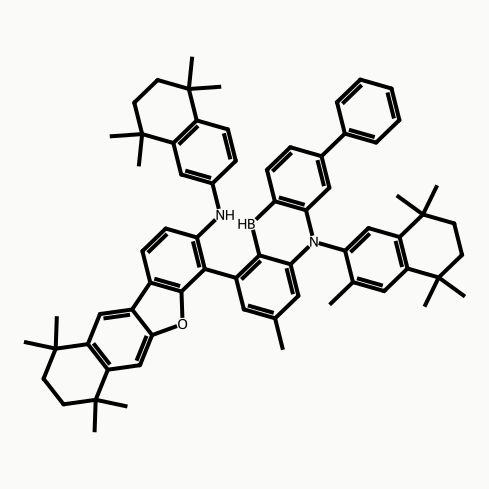 Cc1cc(-c2c(Nc3ccc4c(c3)C(C)(C)CCC4(C)C)ccc3c2oc2cc4c(cc23)C(C)(C)CCC4(C)C)c2c(c1)N(c1cc3c(cc1C)C(C)(C)CCC3(C)C)c1cc(-c3ccccc3)ccc1B2